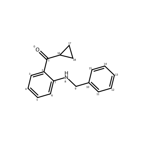 O=C(c1ccccc1NCc1ccccc1)C1CC1